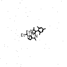 CCC(CC)n1ccc2c(C)nc3c(-c4c(C)cc(C)cc4C)c(C)nn3c21